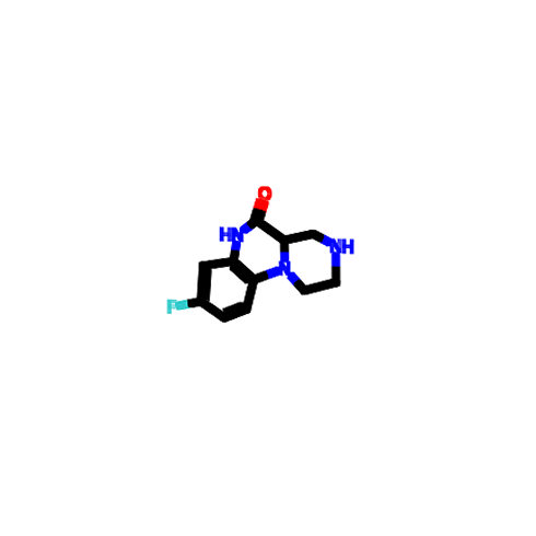 O=C1Nc2cc(F)ccc2N2CCNCC12